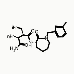 CCC[C@H](C(N)=O)[C@@H](CC(C)C)C(=O)N[C@H]1CCCCN(Cc2cccc(C)c2)C1=O